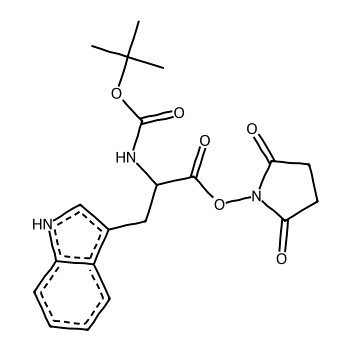 CC(C)(C)OC(=O)NC(Cc1c[nH]c2ccccc12)C(=O)ON1C(=O)CCC1=O